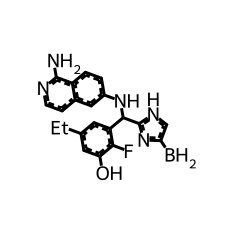 Bc1c[nH]c(C(Nc2ccc3c(N)nccc3c2)c2cc(CC)cc(O)c2F)n1